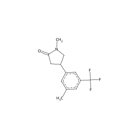 Cc1cc(C2CC(=O)N(C)C2)cc(C(F)(F)F)c1